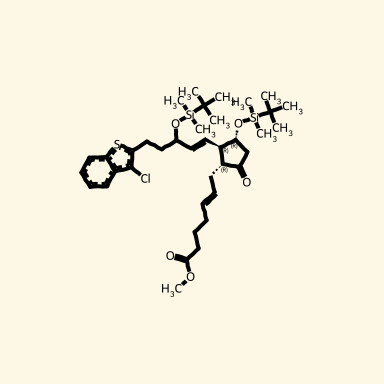 COC(=O)CCCC=CC[C@H]1C(=O)C[C@@H](O[Si](C)(C)C(C)(C)C)[C@@H]1C=CC(CCc1sc2ccccc2c1Cl)O[Si](C)(C)C(C)(C)C